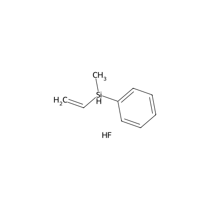 C=C[SiH](C)c1ccccc1.F